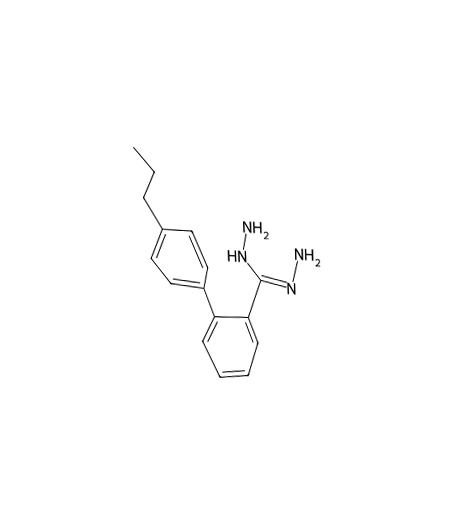 CCCc1ccc(-c2ccccc2/C(=N/N)NN)cc1